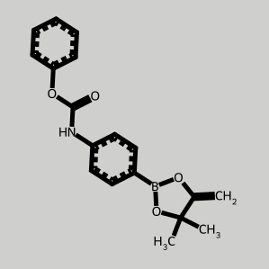 C=C1OB(c2ccc(NC(=O)Oc3ccccc3)cc2)OC1(C)C